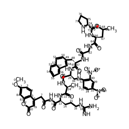 COc1ccc2c(CC(=O)NC(=O)[C@H](CCCNC(=N)N)NC(=O)[C@H](C)NC(=O)[C@H](CNc3ccc([N+](=O)[O-])cc3[N+](=O)[O-])NC(=O)[C@H](Cc3ccc4ccccc4c3)NC(=O)CNC(=O)[C@H](CC(C)C)NC(=O)[C@@H]3CCCN3)cc(=O)oc2c1